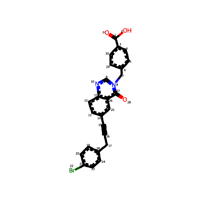 O=C(O)c1ccc(Cn2cnc3ccc(C#CCc4ccc(Br)cc4)cc3c2=O)cc1